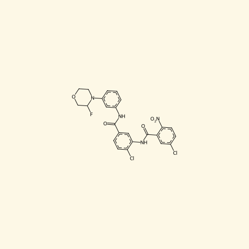 O=C(Nc1cccc(N2CCOCC2F)c1)c1ccc(Cl)c(NC(=O)c2cc(Cl)ccc2[N+](=O)[O-])c1